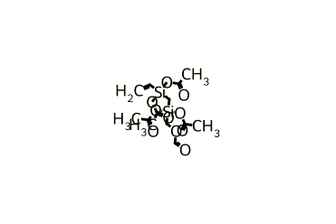 C=C[Si](C[Si](COC=O)(OC(C)=O)OC(C)=O)(OC(C)=O)OC(C)=O